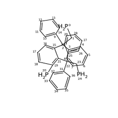 PCC(c1ccccc1)(c1ccccc1)c1cccc(P)c1C(CP)(c1ccccc1)c1ccccc1